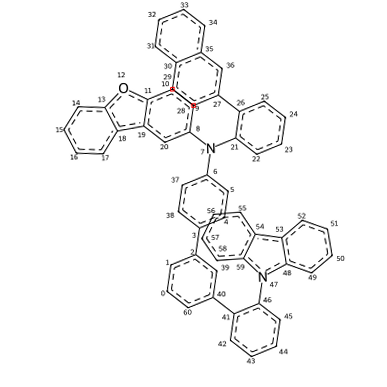 c1cc(-c2ccc(N(c3ccc4oc5ccccc5c4c3)c3ccccc3-c3ccc4ccccc4c3)cc2)cc(-c2ccccc2-n2c3ccccc3c3ccccc32)c1